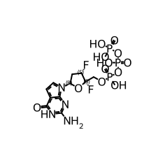 Nc1nc2c(ccn2[C@H]2C[C@H](F)[C@@](F)(COP(=O)(O)OP(=O)(O)OP(=O)(O)O)O2)c(=O)[nH]1